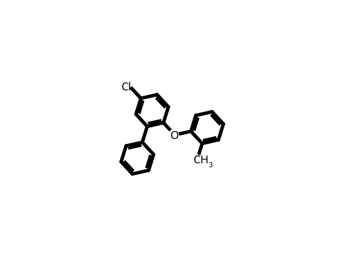 Cc1ccccc1Oc1ccc(Cl)cc1-c1ccccc1